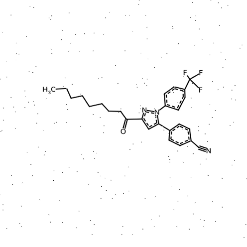 CCCCCCCCC(=O)c1cc(-c2ccc(C#N)cc2)n(-c2ccc(C(F)(F)F)cc2)n1